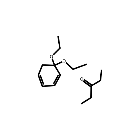 CCC(=O)CC.CCOC1(OCC)C=CC=CC1